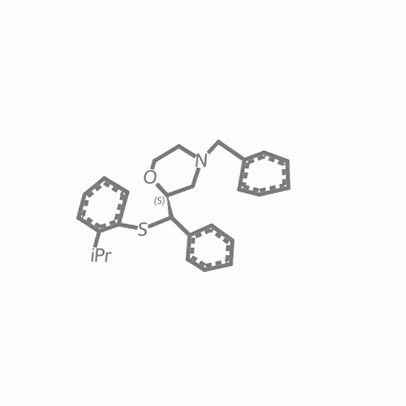 CC(C)c1ccccc1SC(c1ccccc1)[C@@H]1CN(Cc2ccccc2)CCO1